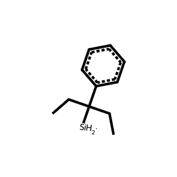 CCC([SiH2])(CC)c1ccccc1